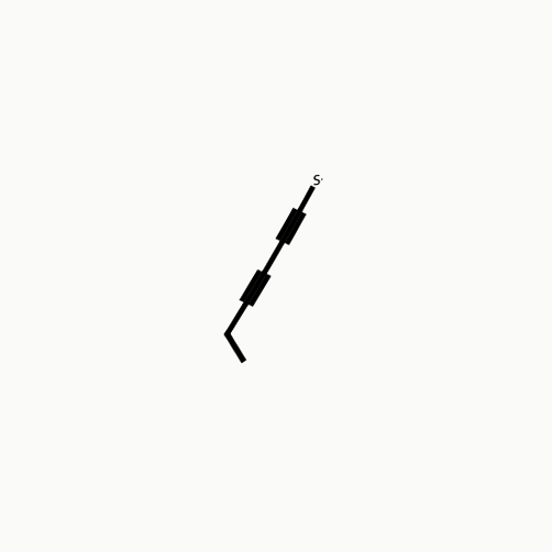 CCC#CC#C[S]